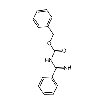 N=C(NC(=O)OCc1ccccc1)c1[c]cccc1